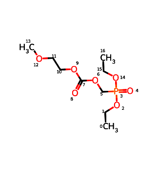 CCOP(=O)(COC(=O)OCCOC)OCC